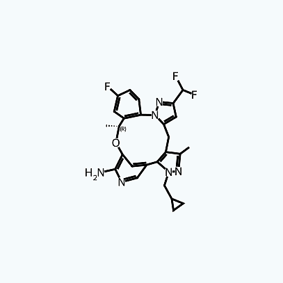 Cc1nn(CC2CC2)c2c1Cc1cc(C(F)F)nn1-c1ccc(F)cc1[C@@H](C)Oc1cc-2cnc1N